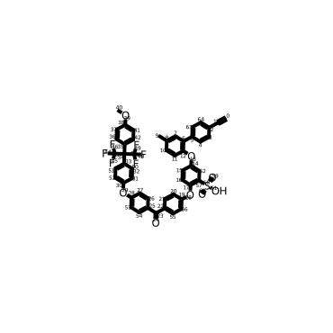 C#Cc1ccc(-c2cc(C)ccc2Oc2ccc(Oc3ccc(C(=O)c4ccc(Oc5ccc(C(c6ccc(OC)cc6)(C(F)(F)F)C(F)(F)F)cc5)cc4)cc3)c(S(=O)(=O)O)c2)cc1